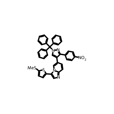 CSc1ccc(-c2cnc3ccc(-c4cn(C(c5ccccc5)(c5ccccc5)c5ccccc5)nc4-c4ccc([N+](=O)[O-])cc4)cn23)s1